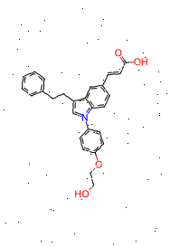 O=C(O)/C=C/c1ccc2c(c1)c(CCc1ccccc1)cn2-c1ccc(OCCO)cc1